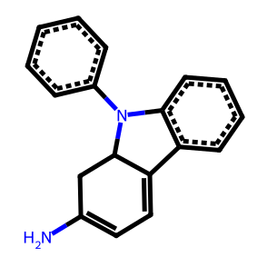 NC1=CC=C2c3ccccc3N(c3ccccc3)C2C1